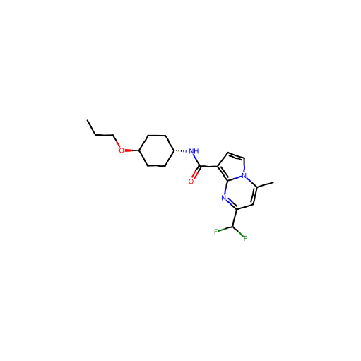 CCCO[C@H]1CC[C@H](NC(=O)c2ccn3c(C)cc(C(F)F)nc23)CC1